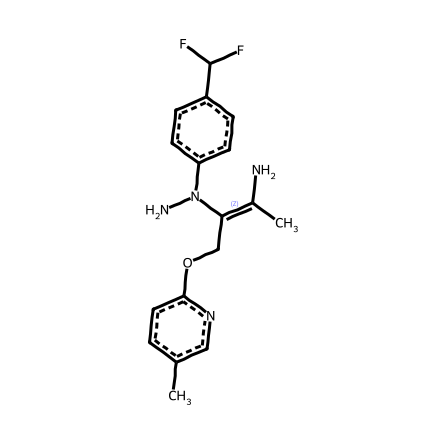 C/C(N)=C(\COc1ccc(C)cn1)N(N)c1ccc(C(F)F)cc1